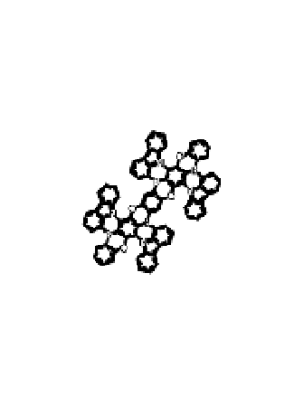 c1ccc2c(c1)Oc1c3c(c4c5c1-n1c6ccccc6c6cccc(c61)B5c1cc5c(cc1O4)B1c4c(c6c7c(c4-n4c8ccccc8c8cccc1c84)Oc1ccccc1B7c1cccc4c7ccccc7n-6c14)O5)-n1c4ccccc4c4cccc(c41)B23